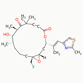 C/C(=C\c1csc(C)n1)[C@@H]1C[C@@H]2O[C@]2(CF)CCC[C@H](C)[C@H](O)[C@@H](C)C(=O)C(C)(C)CCC(=O)O1